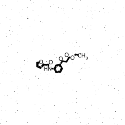 CCOC(=O)CC(=O)c1cccc(NC(=O)c2ccco2)c1